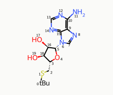 CC(C)(C)SC[C@H]1O[C@@H](n2cnc3c(N)ncnc32)[C@H](O)[C@@H]1O